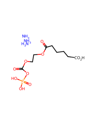 N.N.N.O=C(O)CCCCC(=O)OCCOC(=O)OP(=O)(O)O